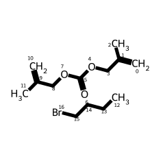 C=C(C)COC(=O)OCC(=C)C.CCCCBr